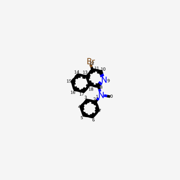 CN(c1ccccc1)c1ncc(Br)c2ccccc12